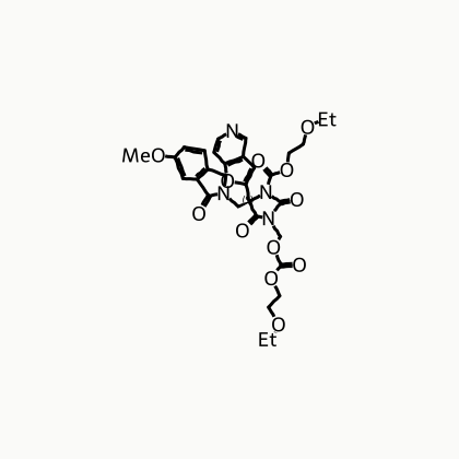 CCOCCOC(=O)OCN1C(=O)N(C(=O)OCCOCC)[C@@](CN2Cc3ccc(OC)cc3C2=O)(c2cc3cnccc3o2)C1=O